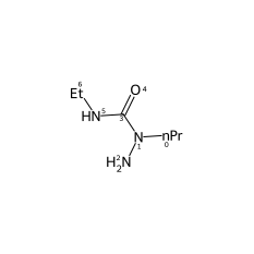 CCCN(N)C(=O)NCC